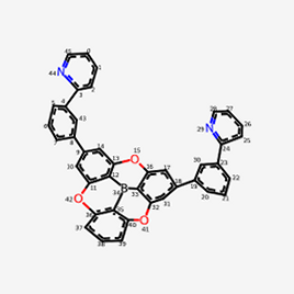 c1ccc(-c2cccc(-c3cc4c5c(c3)Oc3cc(-c6cccc(-c7ccccn7)c6)cc6c3B5c3c(cccc3O6)O4)c2)nc1